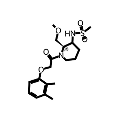 COC[C@H]1C(NS(C)(=O)=O)CCCN1C(=O)COc1cccc(C)c1C